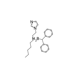 BC(c1ccccc1)c1ccccc1.CCCCCCCCn1ccnc1